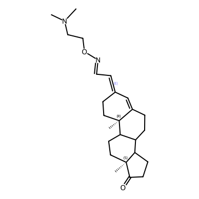 CN(C)CCON=C/C=C1/C=C2CCC3C(CC[C@]4(C)C(=O)CCC34)[C@@]2(C)CC1